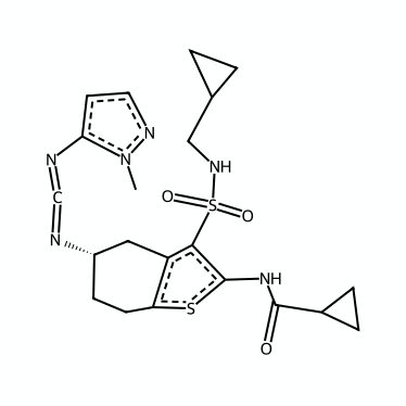 Cn1nccc1N=C=N[C@H]1CCc2sc(NC(=O)C3CC3)c(S(=O)(=O)NCC3CC3)c2C1